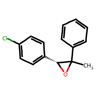 CC1(c2ccccc2)O[C@@H]1c1ccc(Cl)cc1